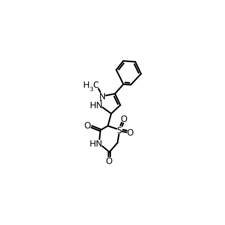 CN1NC(C2C(=O)NC(=O)CS2(=O)=O)C=C1c1ccccc1